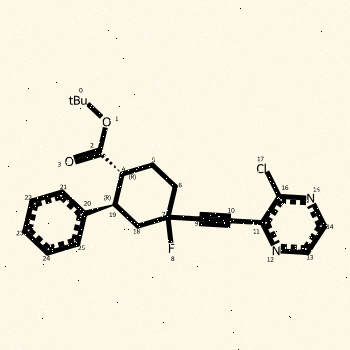 CC(C)(C)OC(=O)[C@@H]1CCC(F)(C#Cc2nccnc2Cl)C[C@H]1c1ccccc1